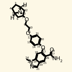 CN1[C@@H]2CC[C@H]1CC(OCCOc1ccc(Oc3cc4c(cnn4C)cc3C(N)=O)cc1)C2